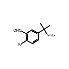 CCCCCCC(C)(C)c1ccc(O)c(C=O)c1